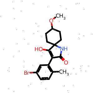 COC1CCC2(CC1)NC(=O)C(c1cc(Br)ccc1C)=C2O